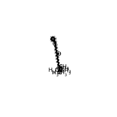 CC(C)[Si](OCCCCCCCCC(=O)CCCCCCOCc1ccccc1)(C(C)C)C(C)C